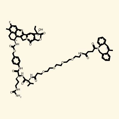 CC[C@@]1(O)C(=O)OCc2c1cc1n(c2=O)Cc2c-1nc1cc(F)c(C)c3c1c2[C@@H](NC(=O)OCc1ccc(NC(=O)[C@H](CCCNC(N)=O)NC(=O)[C@@H](NC(=O)CCOCCOCCOCCOCCNC(=O)CCC(=O)N2Cc4ccccc4/C(C)=C\c4ccccc42)C(C)C)cc1)CC3